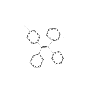 [B+2]c1ccc(C(=C(c2ccccc2)c2ccccc2)c2ccccc2)cc1.[OH-].[OH-]